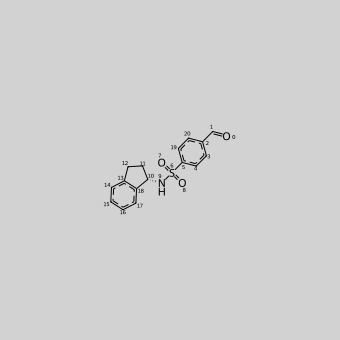 O=Cc1ccc(S(=O)(=O)N[C@H]2CCc3ccccc32)cc1